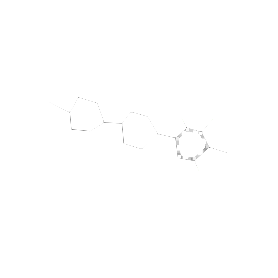 Cc1c(F)cc(C2CCC(C3CCC(C)CC3)CC2)c(F)c1F